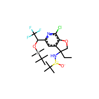 CCC1(N[S+]([O-])C(C)(C)C)COc2c1cc(C(O[Si](C)(C)C(C)(C)C)C(F)(F)F)nc2Cl